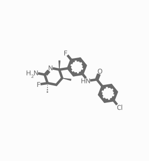 C[C@H]1C[C@@](C)(F)C(N)=N[C@]1(C)c1cc(NC(=O)c2ccc(Cl)cc2)ccc1F